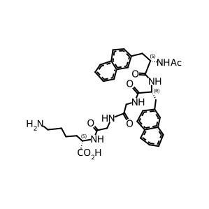 CC(=O)N[C@@H](Cc1ccc2ccccc2c1)C(=O)N[C@H](Cc1ccc2ccccc2c1)C(=O)NCC(=O)NCC(=O)N[C@@H](CCCCN)C(=O)O